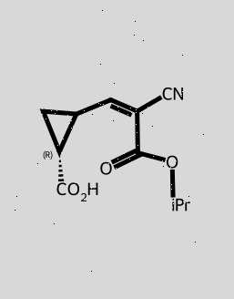 CC(C)OC(=O)C(C#N)=CC1C[C@H]1C(=O)O